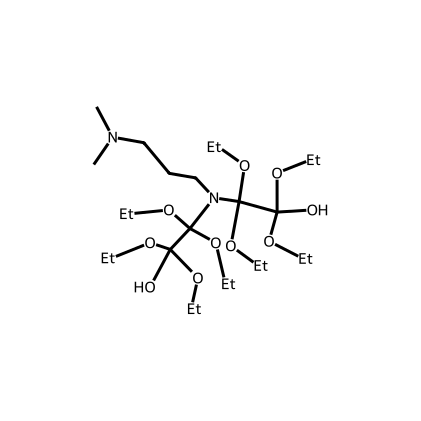 CCOC(O)(OCC)C(OCC)(OCC)N(CCCN(C)C)C(OCC)(OCC)C(O)(OCC)OCC